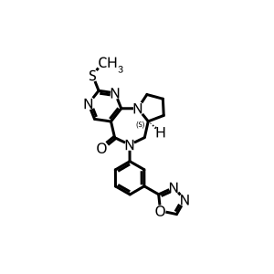 CSc1ncc2c(n1)N1CCC[C@H]1CN(c1cccc(-c3nnco3)c1)C2=O